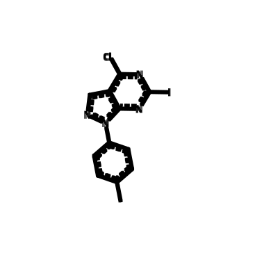 Cc1ccc(-n2ncc3c(Cl)nc(I)nc32)cc1